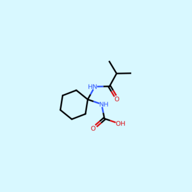 CC(C)C(=O)NC1(NC(=O)O)CCCCC1